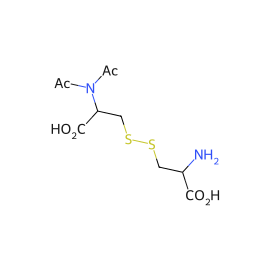 CC(=O)N(C(C)=O)C(CSSCC(N)C(=O)O)C(=O)O